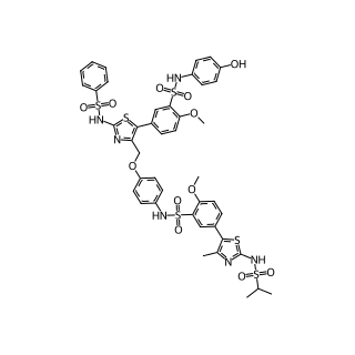 COc1ccc(-c2sc(NS(=O)(=O)C(C)C)nc2C)cc1S(=O)(=O)Nc1ccc(OCc2nc(NS(=O)(=O)c3ccccc3)sc2-c2ccc(OC)c(S(=O)(=O)Nc3ccc(O)cc3)c2)cc1